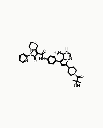 CC(C)(O)C(=O)N1CCC(c2cc(-c3ccc(NC(=O)c4c5n(n(-c6ccccn6)c4=O)CCOC5)cc3)c3n2N=CNC3N)CC1